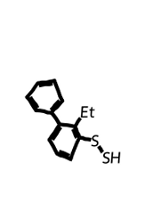 CCc1c(SS)cccc1-c1ccccc1